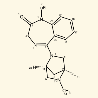 CCCN1C(=O)CN=C(N2C[C@@H]3C[C@H]2CN3C)c2ccccc21